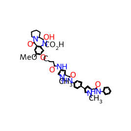 COc1cc2c(cc1OCCCC(=O)Nc1cc(C(=O)Nc3ccc(-c4cc(C(=O)Nc5ccccc5)n(C)c4)cc3)n(C)c1)N(C(=O)O)[C@@H](O)C1CCCCN1C2=O